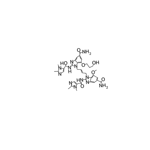 COc1cc(C(N)=O)cc2nc(NC(=O)c3cnc(C)n3C)n(C/C=C/Cn3c(NC(O)c4cnc(C)n4C)nc4cc(C(N)=O)cc(OCCCO)c43)c12